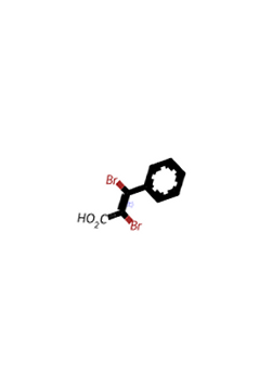 O=C(O)/C(Br)=C(\Br)c1ccccc1